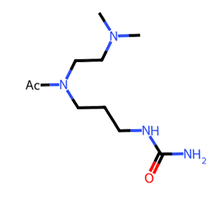 CC(=O)N(CCCNC(N)=O)CCN(C)C